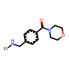 CCNCc1ccc(C(=O)N2CCOCC2)cc1